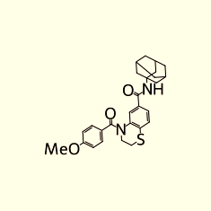 COc1ccc(C(=O)N2CCSc3ccc(C(=O)NC45CC6CC(CC(C6)C4)C5)cc32)cc1